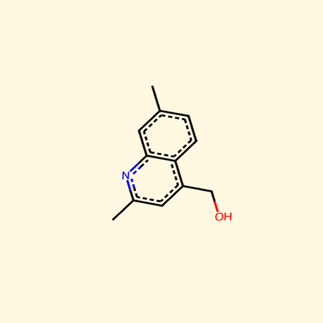 Cc1ccc2c(CO)cc(C)nc2c1